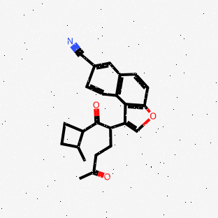 CC(=O)CCC(C(=O)C1CCC1C)c1coc2ccc3cc(C#N)ccc3c12